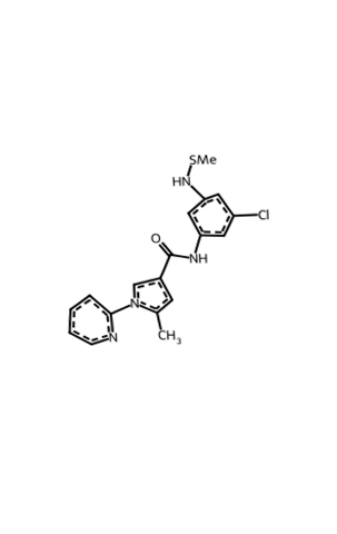 CSNc1cc(Cl)cc(NC(=O)c2cc(C)n(-c3ccccn3)c2)c1